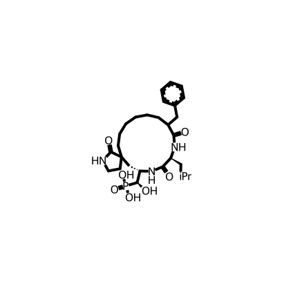 CC(C)C[C@@H]1NC(=O)C(Cc2ccccc2)CCCCCCC2(CCNC2=O)C[C@@H]([C@@H](O)P(=O)(O)O)NC1=O